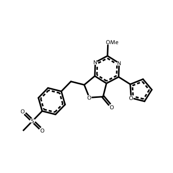 COc1nc(-c2ccco2)c2c(n1)C(Cc1ccc(S(C)(=O)=O)cc1)OC2=O